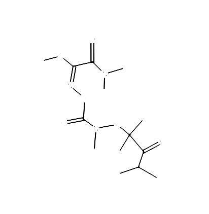 CSC(=NOC(=O)N(C)SC(C)(C)C(=O)C(C)C)C(=O)N(C)C